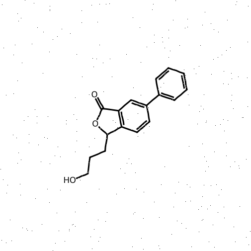 O=C1OC(CCCO)c2ccc(-c3ccccc3)cc21